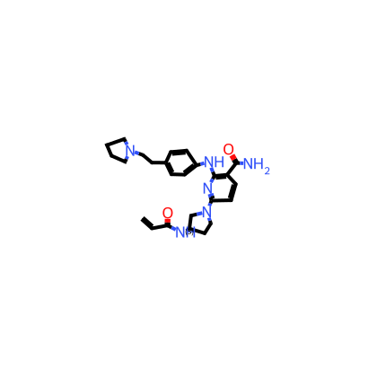 C=CC(=O)N[C@H]1CCN(c2ccc(C(N)=O)c(Nc3ccc(CCN4CCCC4)cc3)n2)C1